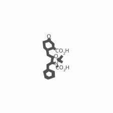 CC1(C)OC(CC2CCC(=O)CC2C(=O)O)C(Cc2ccccc2)N1C(=O)O